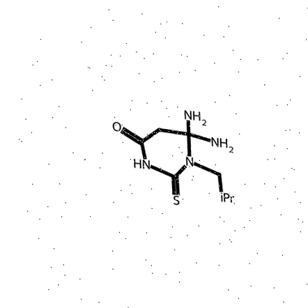 CC(C)CN1C(=S)NC(=O)CC1(N)N